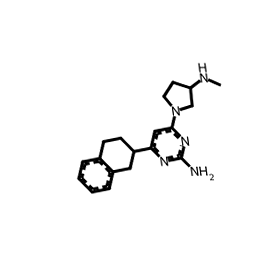 CNC1CCN(c2cc(C3CCc4ccccc4C3)nc(N)n2)C1